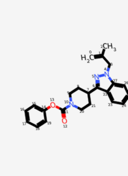 C=C(C)Cn1nc(C2CCN(C(=O)Oc3ccccc3)CC2)c2ccccc21